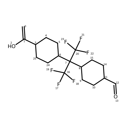 C=C(O)C1CCC(C(C2CCC(C=O)CC2)(C(F)(F)F)C(F)(F)F)CC1